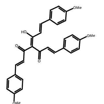 COc1ccc(/C=C/C(=O)C(C(=O)/C=C/c2ccc(OC)cc2)=C(O)/C=C/c2ccc(OC)cc2)cc1